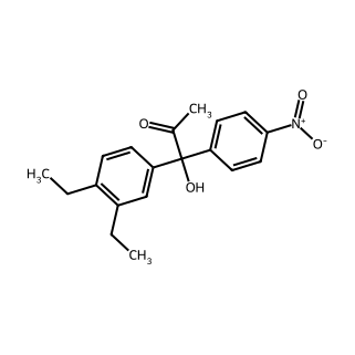 CCc1ccc(C(O)(C(C)=O)c2ccc([N+](=O)[O-])cc2)cc1CC